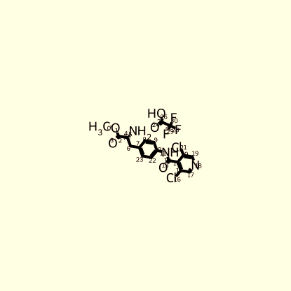 COC(=O)[C@@H](N)Cc1ccc(NC(=O)c2c(Cl)cncc2Cl)cc1.O=C(O)C(F)(F)F